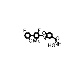 COc1ccc(F)cc1-c1ccc(-c2nc3cc(C4OC4NO)ccc3o2)c(F)c1